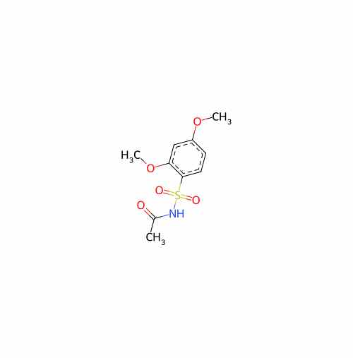 COc1ccc(S(=O)(=O)NC(C)=O)c(OC)c1